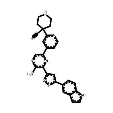 N#CC1(c2cc(-c3cnc(N)c(-c4cc(-c5ccc6[nH]ccc6c5)no4)n3)ccn2)CCNCC1